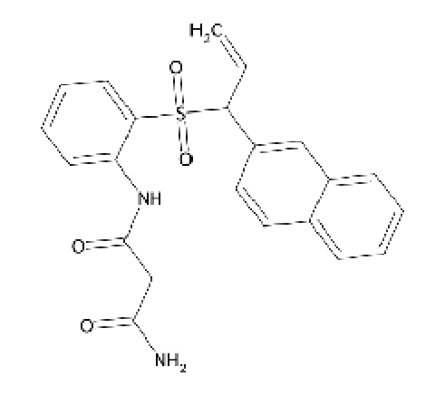 C=CC(c1ccc2ccccc2c1)S(=O)(=O)c1ccccc1NC(=O)CC(N)=O